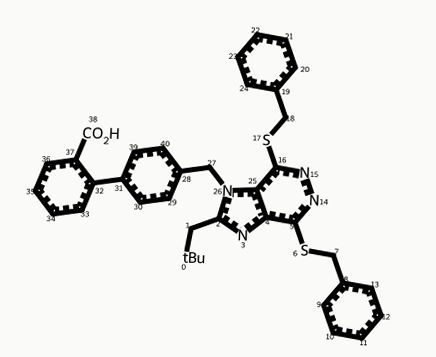 CC(C)(C)Cc1nc2c(SCc3ccccc3)nnc(SCc3ccccc3)c2n1Cc1ccc(-c2ccccc2C(=O)O)cc1